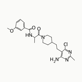 COc1cccc(C(=O)NC(C)C(=O)N2CCC(CCc3c(N)nc(C)nc3Cl)CC2)c1